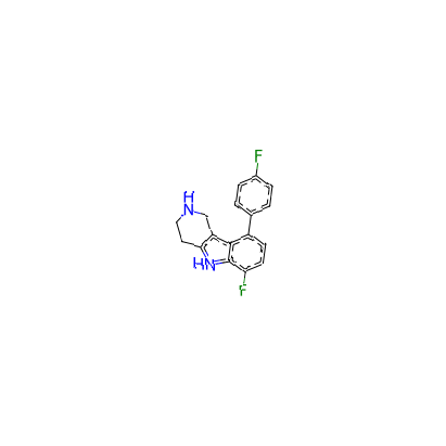 Fc1ccc(-c2ccc(F)c3[nH]c4c(c23)CNCC4)cc1